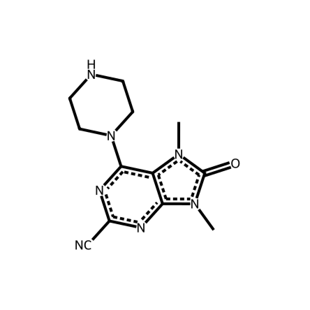 Cn1c(=O)n(C)c2c(N3CCNCC3)nc(C#N)nc21